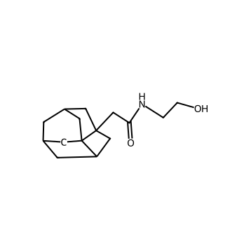 O=C(CC12CC3CC4CC(C1)C2(C4)C3)NCCO